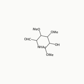 COCC(O)C(OC)C(OC)C(C=O)NC(C)=O